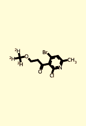 [2H]C([2H])([2H])OCCC(=O)c1c(Br)cc(C)nc1Cl